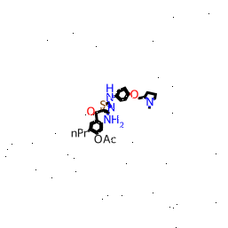 CCCc1cc(C(=O)c2sc(Nc3ccc(OCC4CCCN4C)cc3)nc2N)ccc1OC(C)=O